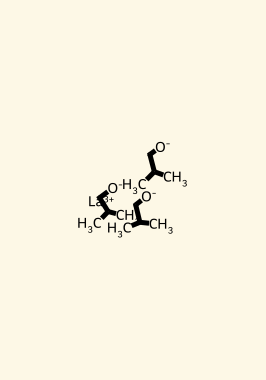 CC(C)C[O-].CC(C)C[O-].CC(C)C[O-].[La+3]